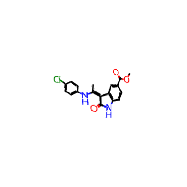 COC(=O)c1ccc2c(c1)/C(=C(\C)Nc1ccc(Cl)cc1)C(=O)N2